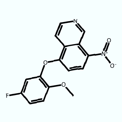 COc1ccc(F)cc1Oc1ccc([N+](=O)[O-])c2cnccc12